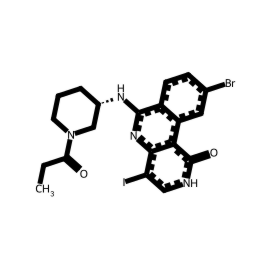 CCC(=O)N1CCC[C@H](Nc2nc3c(I)c[nH]c(=O)c3c3cc(Br)ccc23)C1